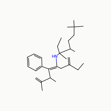 C=C(CC)C/C(NC(C)(CC)C(C)CCC(C)(C)C)=C(/c1ccccc1)C(C)C(=C)C